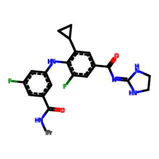 CC(C)NC(=O)c1cc(F)cc(Nc2c(F)cc(C(=O)N=C3NCCN3)cc2C2CC2)c1